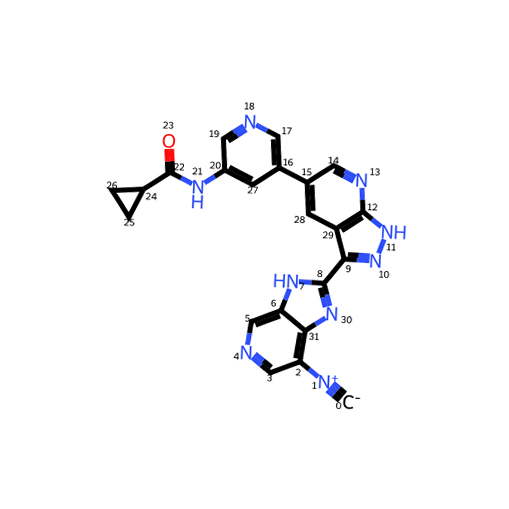 [C-]#[N+]c1cncc2[nH]c(-c3n[nH]c4ncc(-c5cncc(NC(=O)C6CC6)c5)cc34)nc12